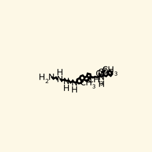 COC(=O)C(Cc1ccccc1)NC(=O)CCCC1CCC2C3CCC4CC(NCCCNCCNCCCN)CCC4(C)C3CCC12C